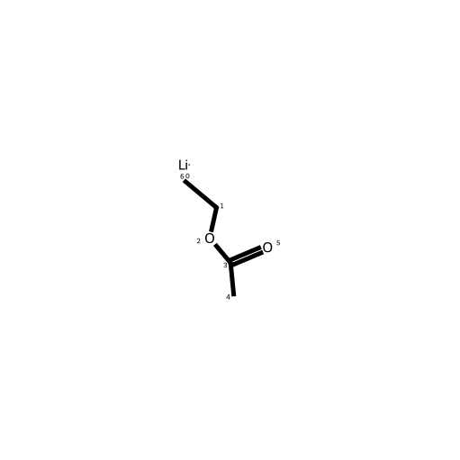 CCOC(C)=O.[Li]